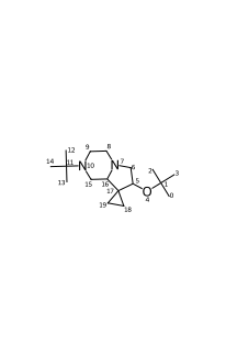 CC(C)(C)OC1CN2CCN(C(C)(C)C)CC2C12CC2